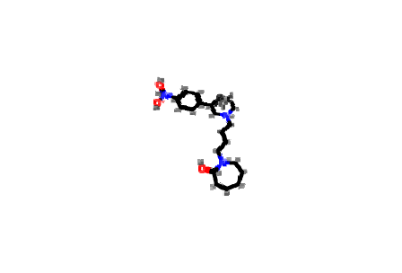 CCN(CCCCN1CCCCCC1=O)CC(C)c1ccc([N+](=O)[O-])cc1